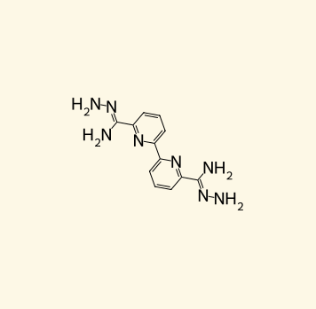 N/N=C(\N)c1cccc(-c2cccc(/C(N)=N/N)n2)n1